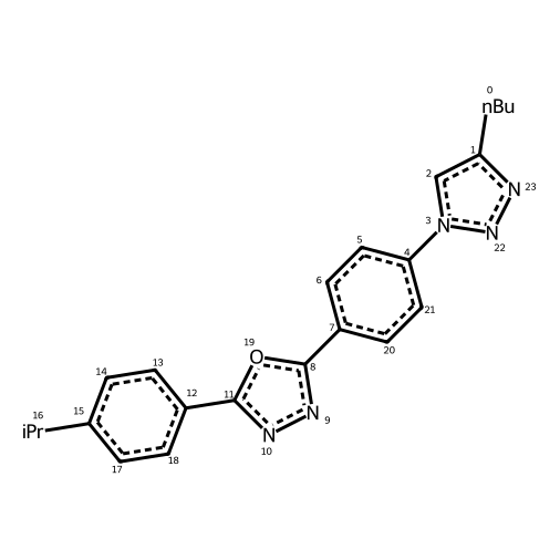 CCCCc1cn(-c2ccc(-c3nnc(-c4ccc(C(C)C)cc4)o3)cc2)nn1